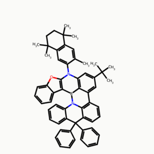 Cc1cc2c(cc1N1c3cc(C(C)(C)C)cc4c3B(c3c1oc1ccccc31)N1c3ccccc3C(c3ccccc3)(c3ccccc3)c3cccc-4c31)C(C)(C)CCC2(C)C